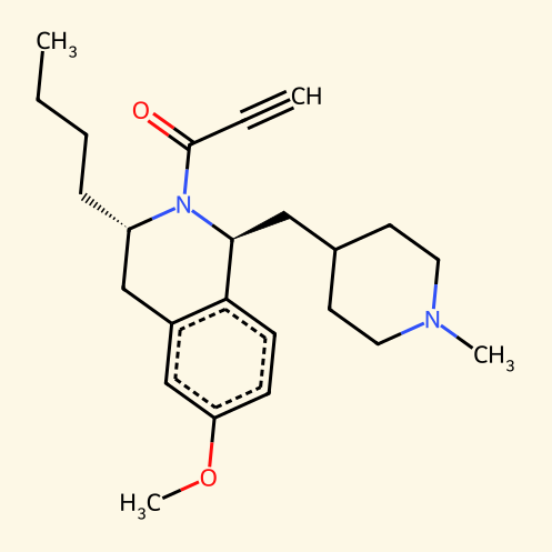 C#CC(=O)N1[C@@H](CCCC)Cc2cc(OC)ccc2[C@@H]1CC1CCN(C)CC1